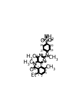 CCc1ccc(C)cc1C(=O)N(C)c1cnc(N(C)c2ccc(S(N)(=O)=O)cc2)nc1C